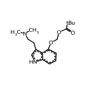 CN(C)CCc1c[nH]c2cccc(OCOC(=O)C(C)(C)C)c12